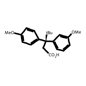 COc1ccc([C@@](CC(=O)O)(c2cccc(OC)c2)C(C)(C)C)cc1